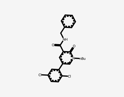 CCCCn1cc(-c2cc(Cl)ccc2Cl)cc(C(=O)NCc2ccccc2)c1=O